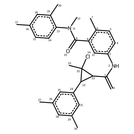 C=C(Nc1ccc(C)c(C(=O)N(C)c2ccc(C)cc2C)c1)C1C(c2cc(C)cc(C)c2)C1(C)Cl